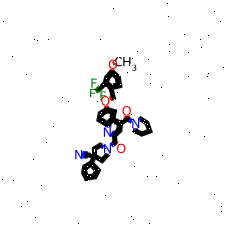 COc1ccc(COc2ccc3nc(C(=O)N4CCC(C#N)(c5ccccc5)CC4)cc(C(=O)N4CCCCC4)c3c2)c(C(F)(F)F)c1